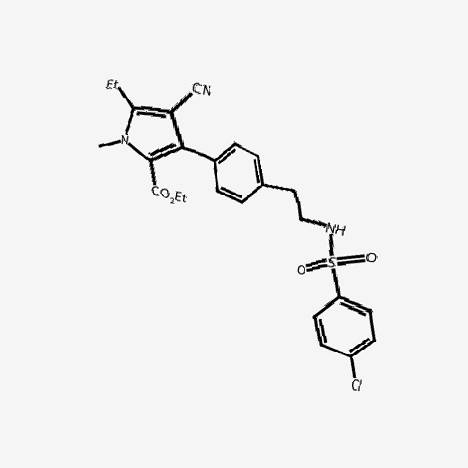 CCOC(=O)c1c(-c2ccc(CCNS(=O)(=O)c3ccc(Cl)cc3)cc2)c(C#N)c(CC)n1C